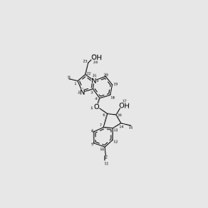 Cc1nc2c(OC3c4ccc(F)cc4C(C)C3O)cccn2c1CO